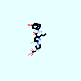 CCCc1nc(N2CC[C@H](CC(=O)O)C2)c(S)cc1C(=O)NC1C2CC3CC1CC(O)(C3)C2